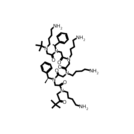 C[C@@H](c1ccccc1)N(CC(=O)N(CCCCN)CC(=O)C(C)(C)C)C(=O)CN(CCCCN)C(=O)CN(CCCCN)C(=O)CN(C(=O)CN(CCCCN)C(C)(C)C)[C@@H](C)c1ccccc1